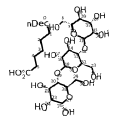 CCCCCCCCCCCCCCCC(=O)O.OC[C@H]1OC(O[C@H]2[C@H](O)[C@@H](O)C(O[C@H]3[C@H](O)[C@@H](O)[C@@H](O)O[C@@H]3CO)O[C@@H]2CO)[C@H](O)[C@@H](O)[C@@H]1O